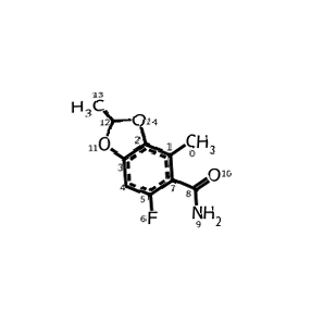 Cc1c2c(cc(F)c1C(N)=O)OC(C)O2